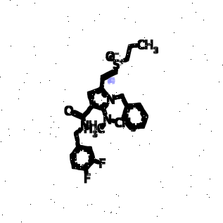 CCC[S+]([O-])/C=C/c1cc(C(=O)NCc2ccc(F)c(F)c2)c(N(C)C)n1Cc1ccccc1